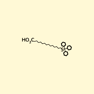 O=C(O)CCCCCCCCCCCCCCSC(c1ccccc1)(c1ccccc1)c1ccccc1